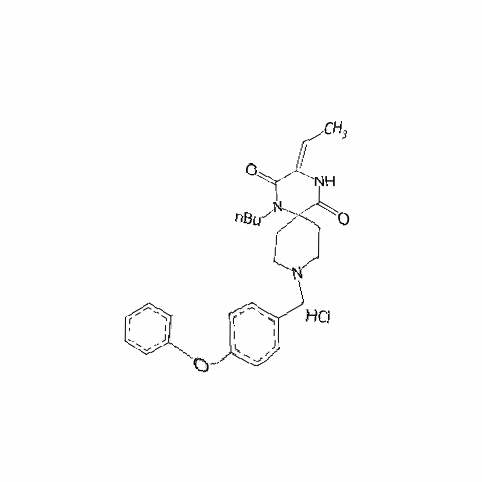 CC=C1NC(=O)C2(CCN(Cc3ccc(Oc4ccccc4)cc3)CC2)N(CCCC)C1=O.Cl